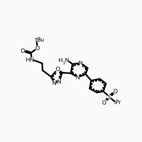 CC(C)S(=O)(=O)c1ccc(-c2cnc(N)c(-c3nnc(CCNC(=O)OC(C)(C)C)o3)n2)cc1